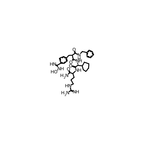 N=C(N)NCCCC(NC(=O)[C@@H](NC(=O)C(Cc1ccc(C(=N)NO)cc1)C(=O)NCc1ccccc1)C1CCCCC1)C(N)=O